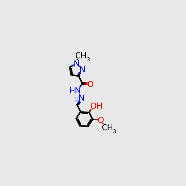 COc1cccc(/C=N/NC(=O)c2ccn(C)n2)c1O